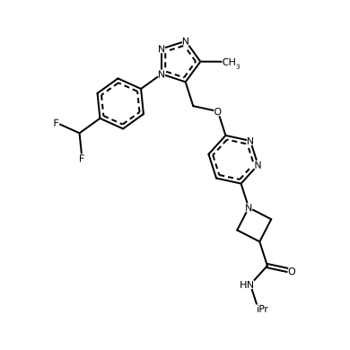 Cc1nnn(-c2ccc(C(F)F)cc2)c1COc1ccc(N2CC(C(=O)NC(C)C)C2)nn1